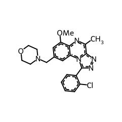 COc1cc(CN2CCOCC2)cc2c1nc(C)c1nnc(-c3ccccc3Cl)n12